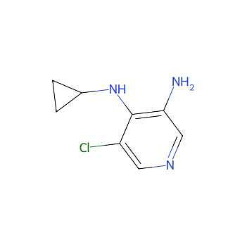 Nc1cncc(Cl)c1NC1CC1